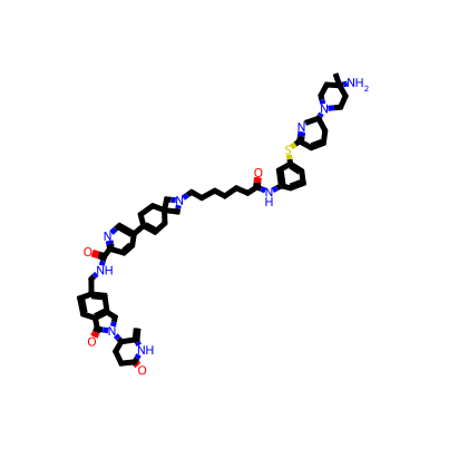 C=C1NC(=O)CCC1N1Cc2cc(CNC(=O)c3ccc(C4=CCC5(CC4)CN(CCCCCCC(=O)Nc4cccc(SC6=NCC(N7CCC(C)(N)CC7)CC=C6)c4)C5)cn3)ccc2C1=O